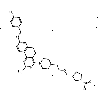 Nc1nc2c(c(N3CCN(CCOC[C@@H]4CC[C@H](C(=O)O)C4)CC3)n1)CCc1cc(OCc3ccc(Cl)cc3)ccc1-2